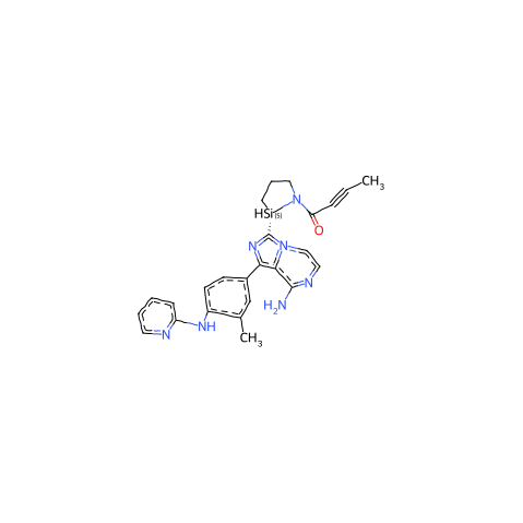 CC#CC(=O)N1CCC[Si@H]1c1nc(-c2ccc(Nc3ccccn3)c(C)c2)c2c(N)nccn12